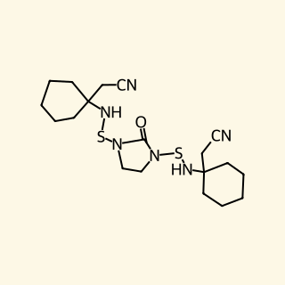 N#CCC1(NSN2CCN(SNC3(CC#N)CCCCC3)C2=O)CCCCC1